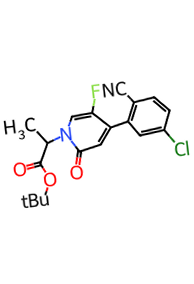 CC(C(=O)OC(C)(C)C)n1cc(F)c(-c2cc(Cl)ccc2C#N)cc1=O